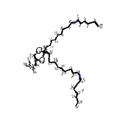 CCCCC/C=C\CCCCCCCCC1(CCCCCCCC/C=C\CCCCC)OCC(C[N+](C)(C)C)O1